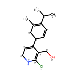 CC1=C(C(C)C)C=CC(C2=CCNC(Cl)=C2CO)C1